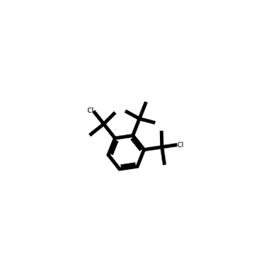 CC(C)(C)c1c(C(C)(C)Cl)cccc1C(C)(C)Cl